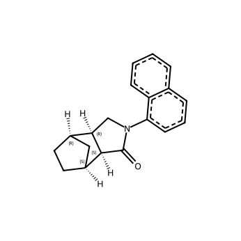 O=C1[C@H]2[C@H]3CC[C@H](C3)[C@H]2CN1c1cccc2ccccc12